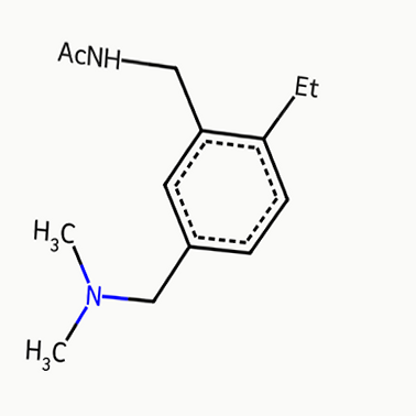 CCc1ccc(CN(C)C)cc1CNC(C)=O